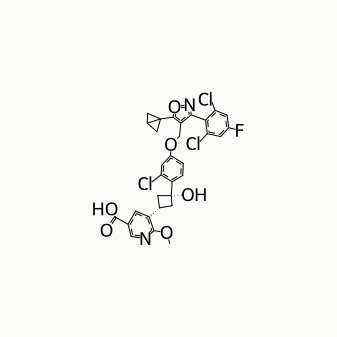 COc1ncc(C(=O)O)cc1[C@H]1C[C@](O)(c2ccc(OCc3c(-c4c(Cl)cc(F)cc4Cl)noc3C34CC3C4)cc2Cl)C1